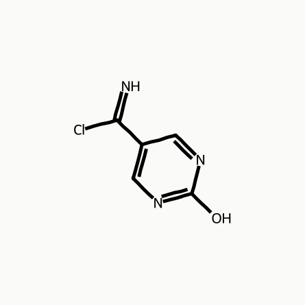 N=C(Cl)c1cnc(O)nc1